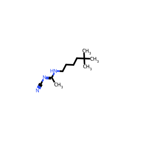 C/C(=N\C#N)NCCCCC(C)(C)C